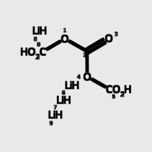 O=C(O)OC(=O)OC(=O)O.[LiH].[LiH].[LiH].[LiH]